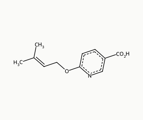 CC(C)=CCOc1ccc(C(=O)O)cn1